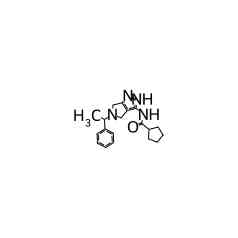 CC(c1ccccc1)N1Cc2n[nH]c(NC(=O)C3CCCC3)c2C1